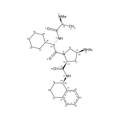 CN[C@@H](C)C(=O)N[C@H](C(=O)N1C[C@@H](NC(C)=O)C[C@H]1C(=O)N[C@@H]1CCCc2ccccc21)C1CCCCC1